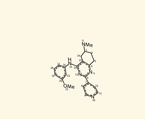 CNC1CCc2nc(-c3ccncc3)nc(Nc3cccc(OC)c3)c2C1